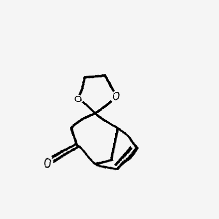 O=C1CC2(OCCO2)C2C=CC1C2